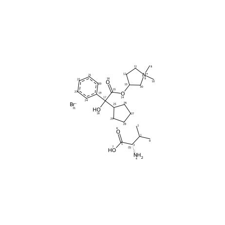 CC(C)[C@H](N)C(=O)O.C[N+]1(C)CCC(OC(=O)C(O)(c2ccccc2)C2CCCC2)C1.[Br-]